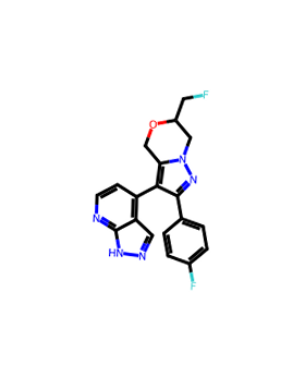 FCC1Cn2nc(-c3ccc(F)cc3)c(-c3ccnc4[nH]ncc34)c2CO1